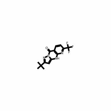 CC(C)(C)c1cc2[nH]c3nc(C(F)(F)F)ccc3c(=O)n2n1